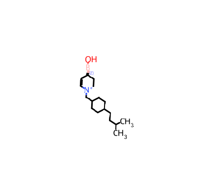 CC(C)CCC1CCC(C[N+]2=CC/C(=B/O)C=C2)CC1